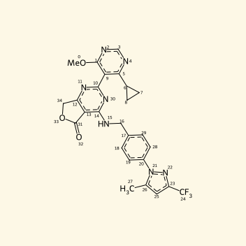 COc1ncnc(C2CC2)c1-c1nc2c(c(NCc3ccc(-n4nc(C(F)(F)F)cc4C)cc3)n1)C(=O)OC2